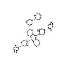 c1ccc(-c2cccc(-c3ccc4c(-c5ccc(-c6cocn6)cn5)c5ccccc5c(-c5ccc(-c6cocn6)cn5)c4c3)c2)cc1